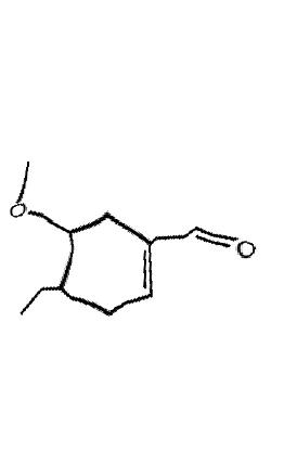 COC1CC(C=O)=CCC1C